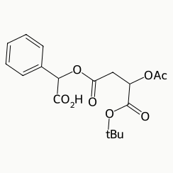 CC(=O)OC(CC(=O)OC(C(=O)O)c1ccccc1)C(=O)OC(C)(C)C